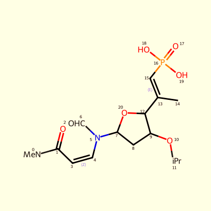 CNC(=O)/C=C\N(C=O)C1CC(OC(C)C)C(/C(C)=C/P(=O)(O)O)O1